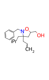 C=CCC1(CC(C)C)CC(CO)ON1Cc1ccccc1